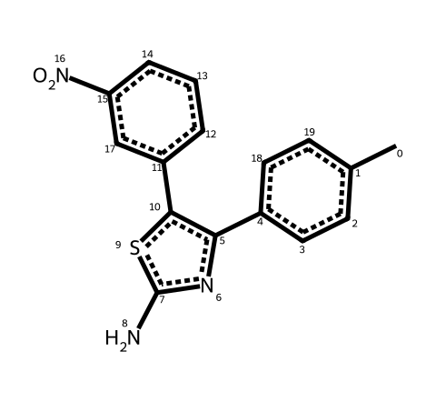 Cc1ccc(-c2nc(N)sc2-c2cccc([N+](=O)[O-])c2)cc1